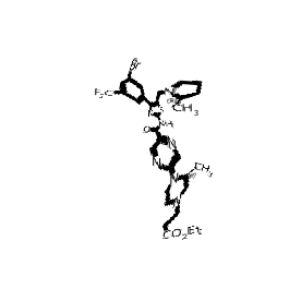 CCOC(=O)CCN1CCN(c2cnc(C(=O)Nc3nc(-c4cc(Br)cc(C(F)(F)F)c4)c(CN4CCC[C@H]4C)s3)cn2)[C@H](C)C1